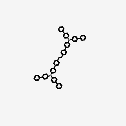 C(=C\c1ccc(-c2ccc(N(c3ccc(-c4ccccc4)cc3)c3ccc(-c4ccccc4)cc3)cc2)cc1)/c1ccc(-c2ccc(N(c3ccc(-c4ccccc4)cc3)c3ccc(-c4ccccc4)cc3)cc2)cc1